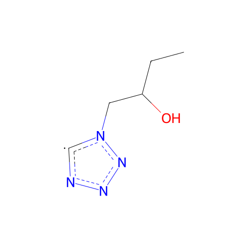 CCC(O)Cn1[c]nnn1